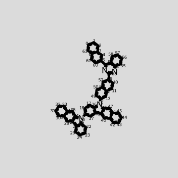 c1ccc2cc(-c3nc(-c4ccc5cc(-n6c7ccc(-n8c9ccccc9c9cc%10ccccc%10cc98)cc7c7cc8ccccc8cc76)ccc5c4)nc4ccccc34)ccc2c1